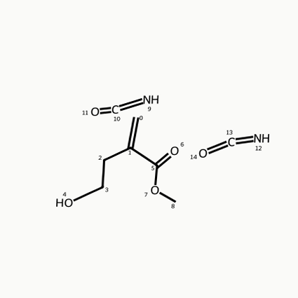 C=C(CCO)C(=O)OC.N=C=O.N=C=O